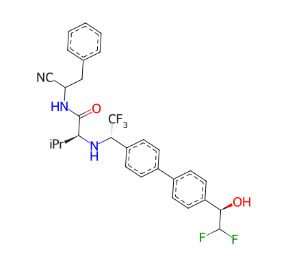 CC(C)[C@H](N[C@@H](c1ccc(-c2ccc([C@@H](O)C(F)F)cc2)cc1)C(F)(F)F)C(=O)NC(C#N)Cc1ccccc1